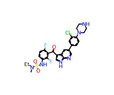 CCN(C)S(=O)(=O)Nc1ccc(F)c(C(=O)c2c[nH]c3ncc(-c4ccc(N5CCNCC5)c(Cl)c4)cc23)c1F